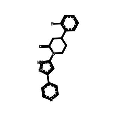 O=C1CC(c2ccccc2F)CCN1c1cc(-c2ccncc2)n[nH]1